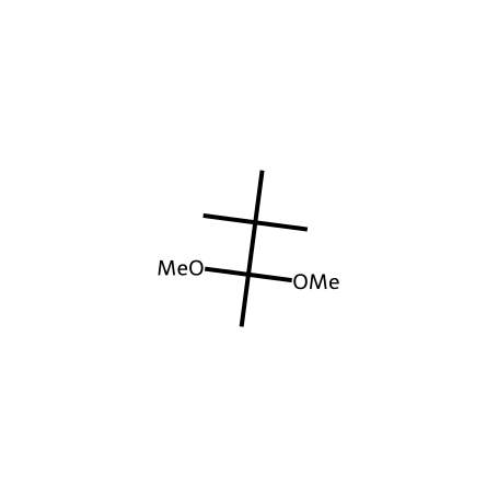 COC(C)(OC)C(C)(C)C